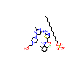 CCCCCCCCCCCCOS(=O)(=O)O.Cc1nc(Nc2ncc(C(=O)Nc3c(C)cccc3Cl)s2)cc(N2CCN(CCO)CC2)n1